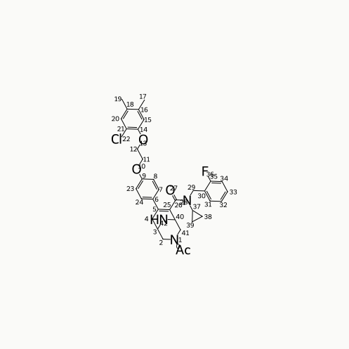 CC(=O)N1CC2CC(c3ccc(OCCOc4cc(C)c(C)cc4Cl)cc3)=C(C(=O)N(Cc3ccccc3F)C3CC3)C(C1)N2